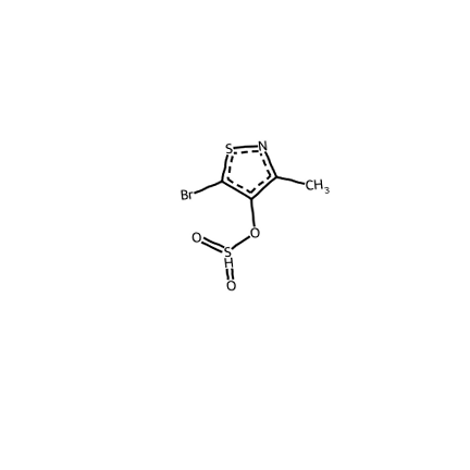 Cc1nsc(Br)c1O[SH](=O)=O